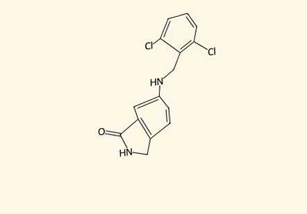 O=C1NCc2ccc(NCc3c(Cl)cccc3Cl)cc21